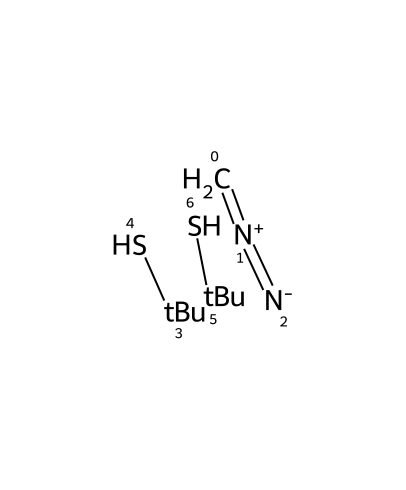 C=[N+]=[N-].CC(C)(C)S.CC(C)(C)S